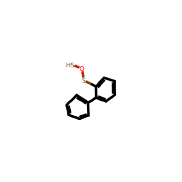 SOSc1ccccc1-c1ccccc1